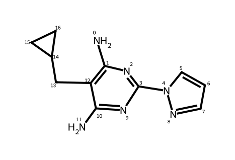 Nc1nc(-n2cccn2)nc(N)c1CC1CC1